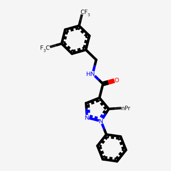 CCCc1c(C(=O)NCc2cc(C(F)(F)F)cc(C(F)(F)F)c2)cnn1-c1ccccc1